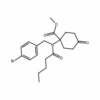 CCCCC(=O)N(Cc1ccc(Br)cc1)C1(C(=O)OC)CCC(=O)CC1